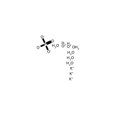 O.O.O.O.O.O.O.O=P([O-])([O-])[O-].[K+].[K+].[K+]